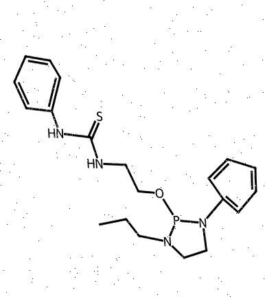 CCCN1CCN(c2ccccc2)P1OCCNC(=S)Nc1ccccc1